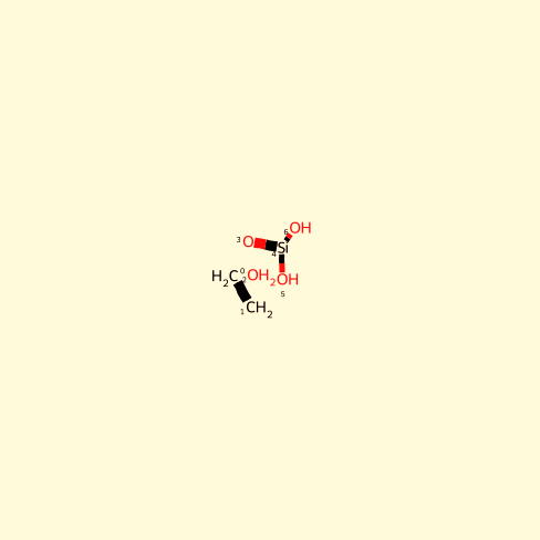 C=C.O.O=[Si](O)O